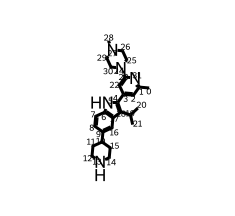 Cc1cc(-c2[nH]c3ccc(C4CCNCC4)cc3c2C(C)C)cc(N2CCN(C)CC2)n1